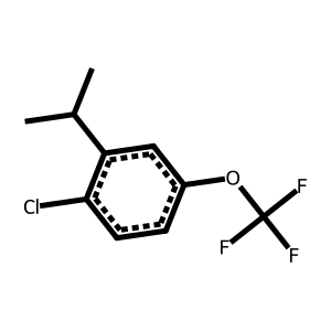 CC(C)c1cc(OC(F)(F)F)ccc1Cl